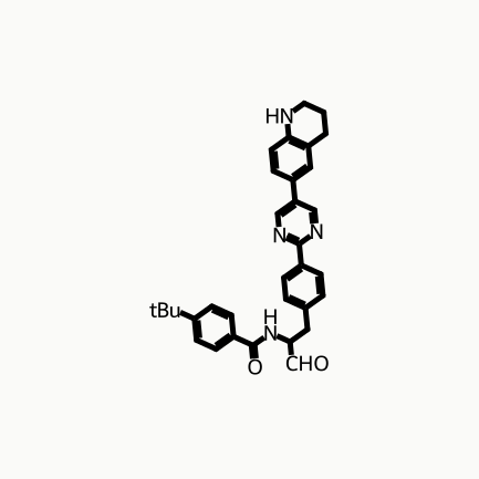 CC(C)(C)c1ccc(C(=O)NC(C=O)Cc2ccc(-c3ncc(-c4ccc5c(c4)CCCN5)cn3)cc2)cc1